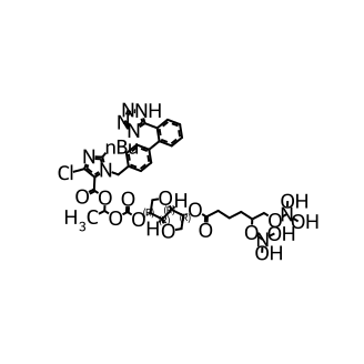 CCCCc1nc(Cl)c(C(=O)OC(C)OC(=O)O[C@@H]2CO[C@H]3[C@@H]2OC[C@H]3OC(=O)CCCC(CON(O)O)ON(O)O)n1Cc1ccc(-c2ccccc2-c2nnn[nH]2)cc1